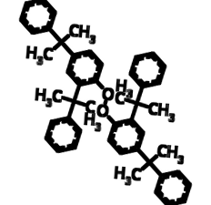 CC(C)(c1ccccc1)c1ccc(OOc2ccc(C(C)(C)c3ccccc3)cc2C(C)(C)c2ccccc2)c(C(C)(C)c2ccccc2)c1